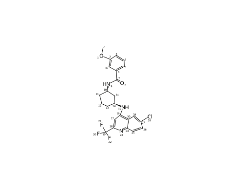 COc1cccc(C(=O)N[C@@H]2CCC[C@H](Nc3cc(C(F)(F)F)nc4ccc(Cl)cc34)C2)c1